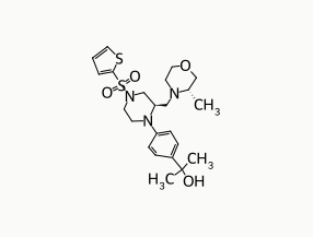 C[C@H]1COCCN1C[C@@H]1CN(S(=O)(=O)c2cccs2)CCN1c1ccc(C(C)(C)O)cc1